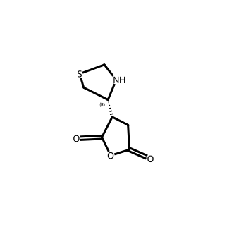 O=C1CC([C@@H]2CSCN2)C(=O)O1